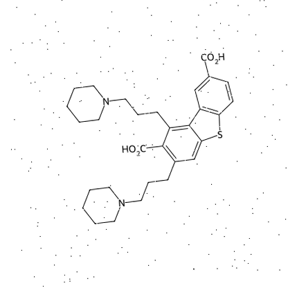 O=C(O)c1ccc2sc3cc(CCCN4CCCCC4)c(C(=O)O)c(CCCN4CCCCC4)c3c2c1